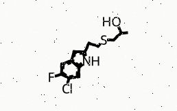 CC(O)CSCCc1cc2cc(F)c(Cl)cc2[nH]1